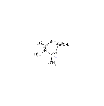 C=C/C=C(/C)N(C)[C@H](N)CC